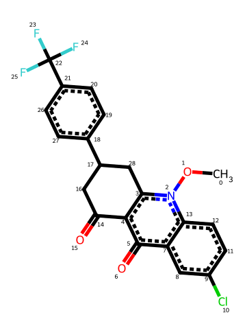 COn1c2c(c(=O)c3cc(Cl)ccc31)C(=O)CC(c1ccc(C(F)(F)F)cc1)C2